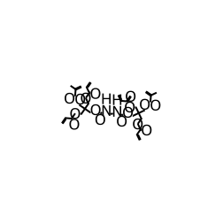 C=CC(=O)OCC(COC(=O)C=C)(COC(=O)NCNC(=O)OCC(COC(=O)C=C)(COC(=O)C=C)COC(=O)C(=C)C)COC(=O)C(=C)C